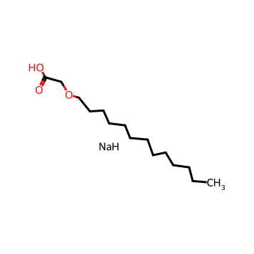 CCCCCCCCCCCCCOCC(=O)O.[NaH]